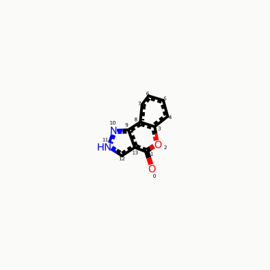 O=c1oc2ccccc2c2n[nH]cc12